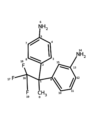 CC(c1ccc(N)cc1)(c1cccc(N)c1)C(F)(F)F